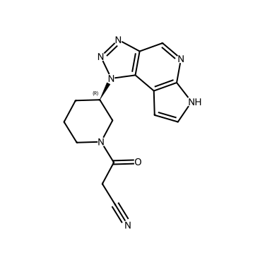 N#CCC(=O)N1CCC[C@@H](n2nnc3cnc4[nH]ccc4c32)C1